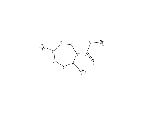 CC1CCC(C)[C@@H](C(=O)CBr)CC1